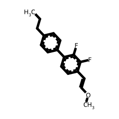 CCCc1ccc(-c2ccc(C=COC)c(F)c2F)cc1